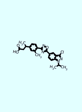 Cc1cc(C(C)CC(=O)O)ccc1-c1noc(-c2ccc3c(c2)c(Cl)nn3C(C)C)n1